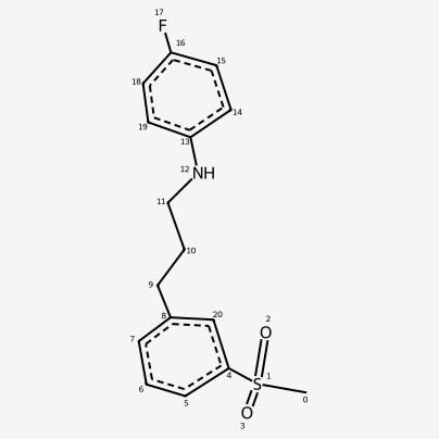 CS(=O)(=O)c1cccc(CCCNc2ccc(F)cc2)c1